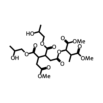 COC(=O)CC(C(=O)OCC(C)O)C(CC(=O)OC(C(=O)OC)C(C)C(=O)OC)C(=O)OCC(C)O